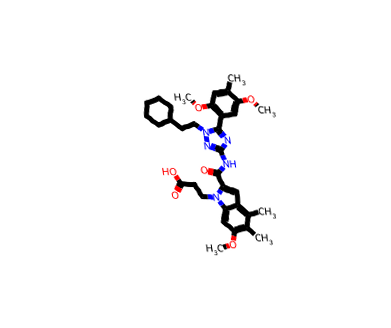 COc1cc(-c2nc(NC(=O)c3cc4c(C)c(C)c(OC)cc4n3CCC(=O)O)nn2CCC2CCCCC2)c(OC)cc1C